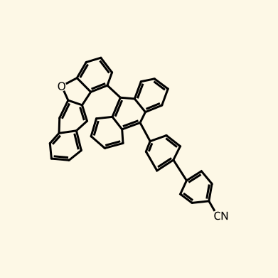 N#Cc1ccc(-c2ccc(-c3c4ccccc4c(-c4cccc5oc6cc7ccccc7cc6c45)c4ccccc34)cc2)cc1